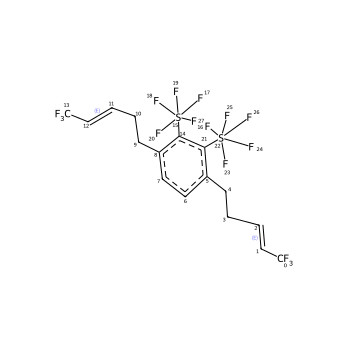 FC(F)(F)/C=C/CCc1ccc(CC/C=C/C(F)(F)F)c(S(F)(F)(F)(F)F)c1S(F)(F)(F)(F)F